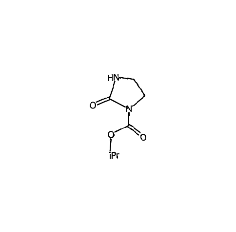 CC(C)OC(=O)N1CCNC1=O